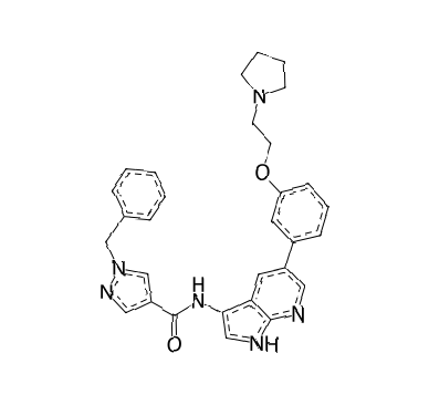 O=C(Nc1c[nH]c2ncc(-c3cccc(OCCN4CCCC4)c3)cc12)c1cnn(Cc2ccccc2)c1